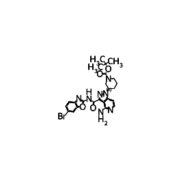 CC(C)(C)OC(=O)N1CCC[C@@H](n2nc(C(=O)Nc3nc4ccc(Br)cc4o3)c3c(N)nccc32)C1